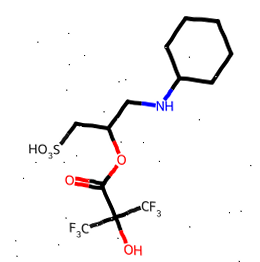 O=C(OC(CNC1CCCCC1)CS(=O)(=O)O)C(O)(C(F)(F)F)C(F)(F)F